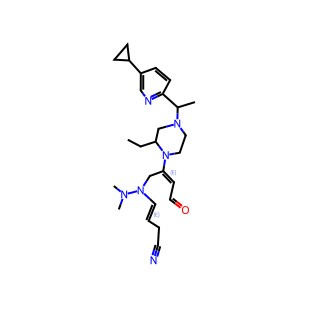 CCC1CN(C(C)c2ccc(C3CC3)cn2)CCN1/C(=C/C=O)CN(/C=C/CC#N)N(C)C